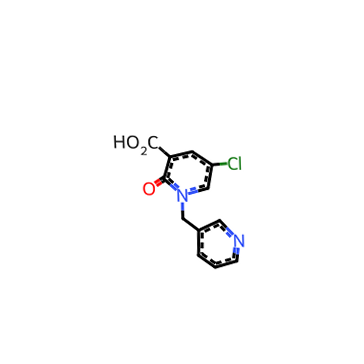 O=C(O)c1cc(Cl)cn(Cc2cccnc2)c1=O